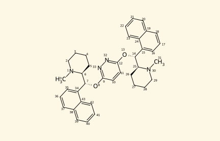 CN1CCCC[C@H]1[C@H](Oc1ccc(O[C@H](c2cccc3ccccc23)[C@@H]2CCCCN2C)nn1)c1cccc2ccccc12